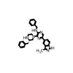 Cc1n[nH]c2ccc(-c3cnc(NCc4ccccc4)c(N4CCN[C@@H](Cc5ccccc5)C4)n3)cc12